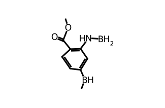 BNc1cc(BC)ccc1C(=O)OC